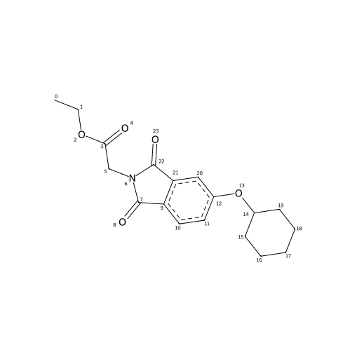 CCOC(=O)CN1C(=O)c2ccc(OC3CCCCC3)cc2C1=O